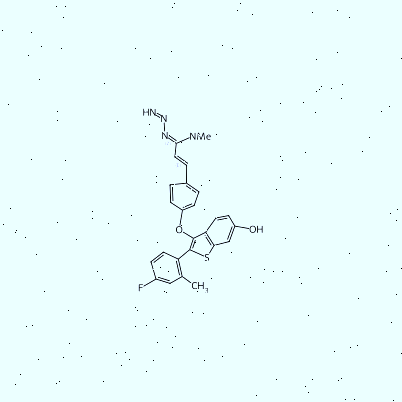 CNC(/C=C/c1ccc(Oc2c(-c3ccc(F)cc3C)sc3cc(O)ccc23)cc1)=N\N=N